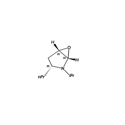 CCC[C@@H]1C[C@@H]2O[C@@H]2N1C(C)C